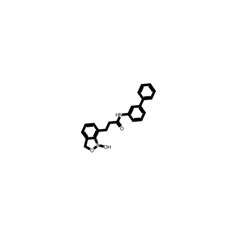 O=C(CCc1cccc2c1B(O)OC2)Nc1cccc(-c2ccccc2)c1